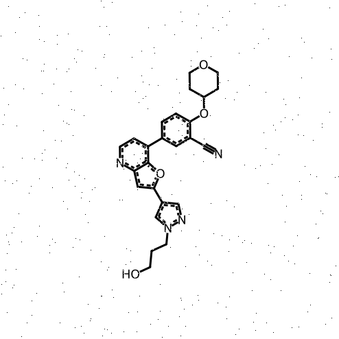 N#Cc1cc(-c2ccnc3cc(-c4cnn(CCCO)c4)oc23)ccc1OC1CCOCC1